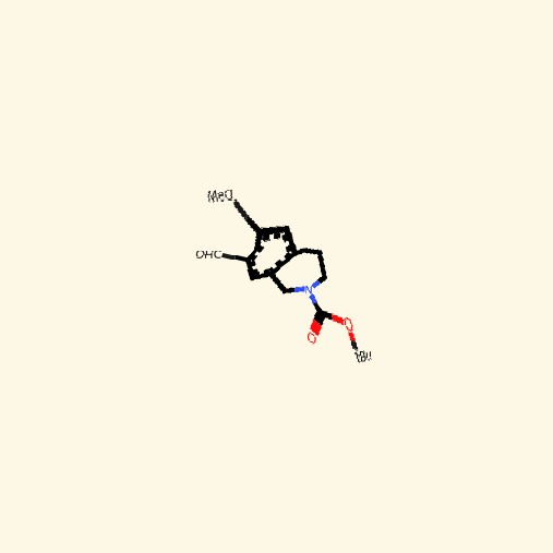 COc1cc2c(cc1C=O)CN(C(=O)OC(C)(C)C)CC2